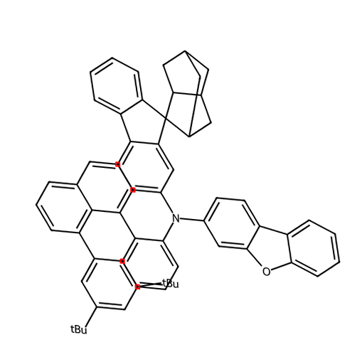 CC(C)(C)c1cc(-c2cccc3cccc(-c4ccccc4N(c4ccc5c(c4)C4(c6ccccc6-5)C5CC6CC(C5)C4C6)c4ccc5c(c4)oc4ccccc45)c23)cc(C(C)(C)C)c1